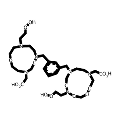 O=C(O)CN1CCOCCN(CCOO)CCN(Cc2cccc(CN3CCN(CCOO)CCOCCN(CC(=O)O)CC3)c2)CC1